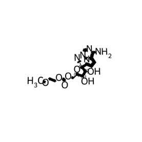 COCCOC(=O)OC[C@H]1O[C@@](C#N)(c2ccc3c(N)ncnn23)[C@H](O)[C@@H]1O